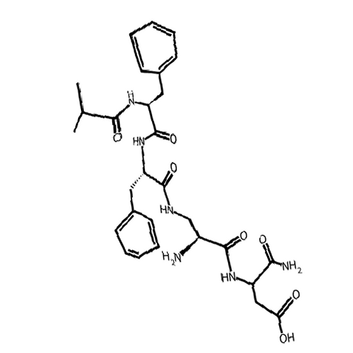 CC(C)C(=O)N[C@@H](Cc1ccccc1)C(=O)N[C@@H](Cc1ccccc1)C(=O)NC[C@H](N)C(=O)NC(CC(=O)O)C(N)=O